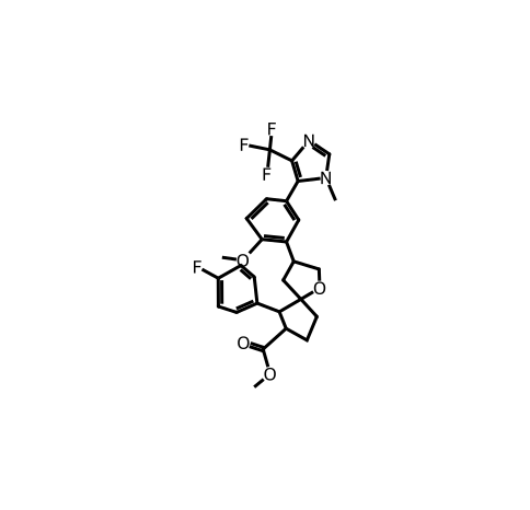 COC(=O)C1CCC2(CC(c3cc(-c4c(C(F)(F)F)ncn4C)ccc3OC)CO2)C1c1ccc(F)cc1